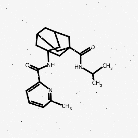 Cc1cccc(C(=O)NC23CC4CC(C2)CC(C(=O)NC(C)C)(C4)C3)n1